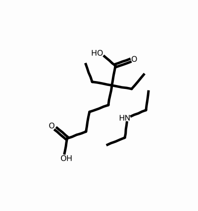 CCC(CC)(CCCC(=O)O)C(=O)O.CCNCC